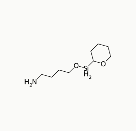 NCCCCO[SiH2]C1CCCCO1